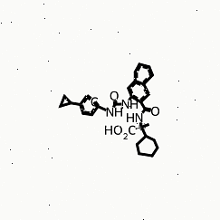 C[C@@](NC(=O)c1cc2ccccc2cc1NC(=O)Nc1ccc(C2CC2)cc1)(C(=O)O)C1CCCCC1